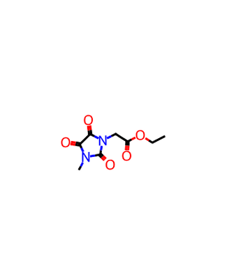 CCOC(=O)CN1C(=O)C(=O)N(C)C1=O